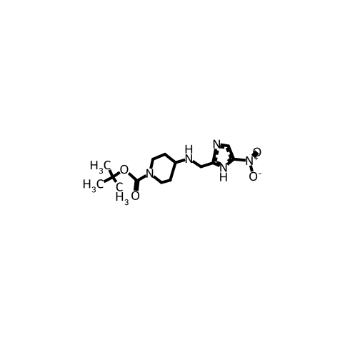 CC(C)(C)OC(=O)N1CCC(NCc2ncc([N+](=O)[O-])[nH]2)CC1